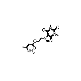 CC(N)=CC(=O)OCCn1cnc2c1c(=O)n(C)c(=O)n2C